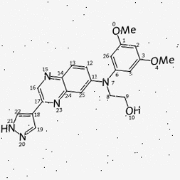 COc1cc(OC)cc(N(CCO)c2ccc3ncc(-c4cn[nH]c4)nc3c2)c1